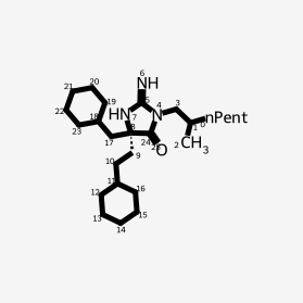 CCCCCC(C)CN1C(=N)N[C@](CCC2CCCCC2)(CC2CCCCC2)C1=O